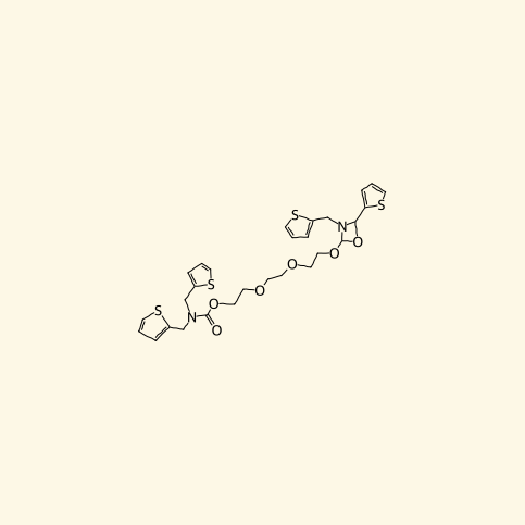 O=C(OCCOCCOCCOC1OC(c2cccs2)N1Cc1cccs1)N(Cc1cccs1)Cc1cccs1